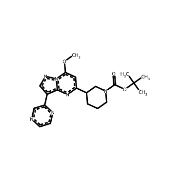 COc1cc(C2CCCN(C(=O)OC(C)(C)C)C2)nc2c(-c3cnccn3)cnn12